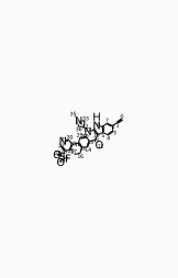 C#Cc1ccc2c(c1)[nH]c1c2c(=O)c2cc(CC)c(-c3cncc(S(=O)(=O)F)c3)cc2n1C1CN(C)C1